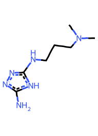 CN(C)CCCNc1nnc(N)[nH]1